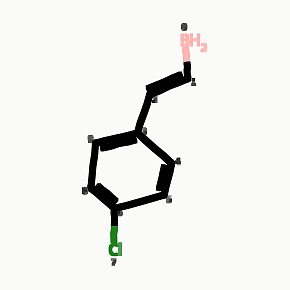 B/C=C/c1ccc(Cl)cc1